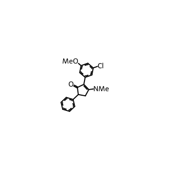 CNC1=C(c2cc(Cl)cc(OC)c2)C(=O)C(c2ccccc2)C1